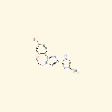 Cc1c[nH]c(-c2cn3c(n2)-c2ccc(Br)cc2OCC3)n1